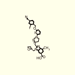 Cc1cc(C(=O)O)cc2c1nc(CN1CCN(c3cccc(OCc4ccc(C#N)cc4F)n3)C=N1)n2C[C@@H]1CCO1